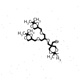 CC1(C)OCC(CBr)(COC(COCC2COC(C)(C)O2)COCC2COC(C)(C)O2)CO1